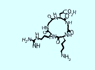 N=C(N)NCCC[C@@H]1NC(=O)[C@H](CCCCN)NC(=O)CNC(=O)[C@H](CC(=O)O)NC(=O)CNC1=O